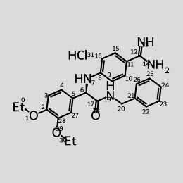 CCOc1ccc([C@@H](Nc2ccc(C(=N)N)cc2)C(=O)NCc2ccccc2)cc1OCC.Cl